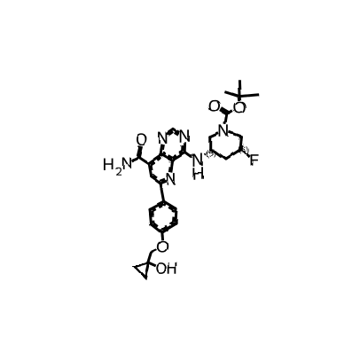 CC(C)(C)OC(=O)N1C[C@@H](F)C[C@H](Nc2ncnc3c(C(N)=O)cc(-c4ccc(OCC5(O)CC5)cc4)nc23)C1